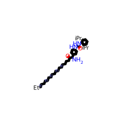 CC/C=C/C/C=C/C/C=C/C/C=C/C/C=C/CCCC(=O)C(N)c1ccc(NC(=O)Nc2c(C(C)C)cccc2C(C)C)cc1